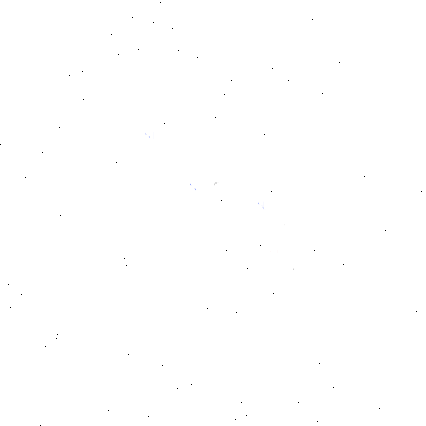 CC(C)(C)OC(=O)N1CC[C@@H](NCc2ccc[nH]2)C1